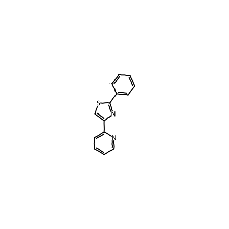 [c]1ccccc1-c1nc(-c2ccccn2)cs1